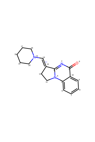 O=c1nc2n(c3ccccc13)CC/C2=C\N1CCCCC1